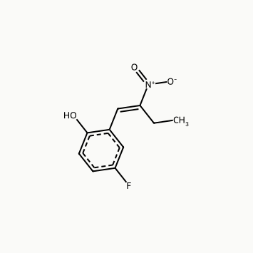 CC/C(=C\c1cc(F)ccc1O)[N+](=O)[O-]